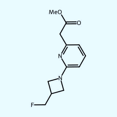 COC(=O)Cc1cccc(N2CC(CF)C2)n1